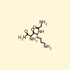 NCCCC[C@H](NC(=O)CN)C(=O)C(N)C(N)=O